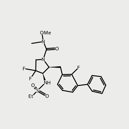 CCS(=O)(=O)N[C@@H]1[C@H](Cc2cccc(-c3ccccc3)c2F)N(C(=O)N(C)OC)CC1(F)F